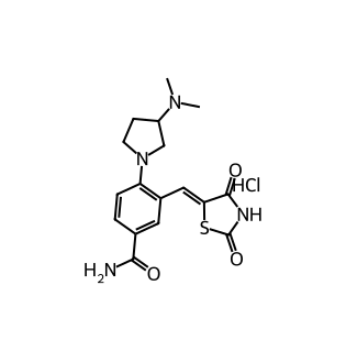 CN(C)C1CCN(c2ccc(C(N)=O)cc2/C=C2\SC(=O)NC2=O)C1.Cl